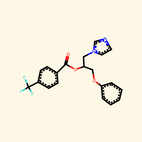 O=C(OC(COc1ccccc1)Cn1ccnc1)c1ccc(C(F)(F)F)cc1